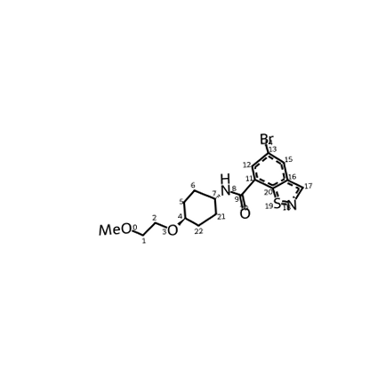 COCCO[C@H]1CC[C@H](NC(=O)c2cc(Br)cc3cnsc23)CC1